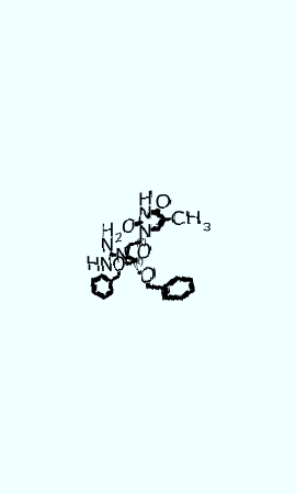 Cc1cn([C@@H]2O[C@@]3(COCc4ccccc4)CN(C(=N)N)C2C3OCc2ccccc2)c(=O)[nH]c1=O